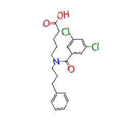 O=C(O)CCCCN(CCCc1ccccc1)C(=O)c1cc(Cl)cc(Cl)c1